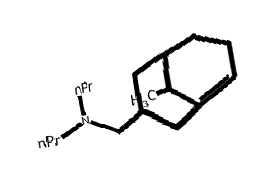 CCCN(CCC)CC1CC2=CCCC(C1)C2C